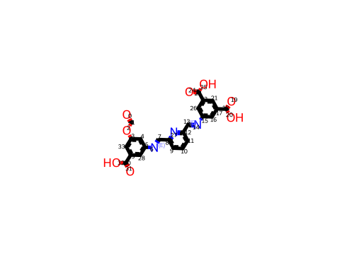 O=COc1cc(/N=C/c2cccc(/C=N/c3cc(C(=O)O)cc(C(=O)O)c3)n2)cc(C(=O)O)c1